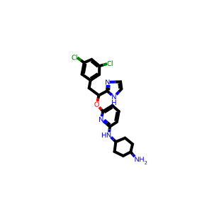 NC1CCC(Nc2cccc(OC(Cc3cc(Cl)cc(Cl)c3)c3ncc[nH]3)n2)CC1